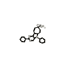 CC1(C)C=Cc2c(n(-c3ccccc3)c3cnc(-c4ccccc4)nc23)C=C1